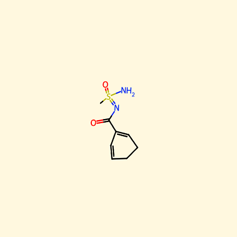 CS(N)(=O)=NC(=O)C1=CCCC=C1